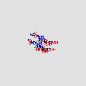 CCNS(=O)(=O)CCNc1nc(Cl)nc2c1ncn2[C@@H]1O[C@H](c2cc(CO)no2)[C@@H](O)[C@H]1O.CCOC(=O)N1CCC(Nc2nc(Cl)nc3c2ncn3[C@@H]2O[C@H](c3cc(CO)no3)[C@@H](O)[C@H]2O)CC1